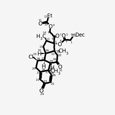 CCCCCCCCCCCC(=O)O[C@@]1(C(=O)COC(=O)CC)[C@H](C)C[C@H]2[C@@H]3[C@H](Cl)CC4=CC(=O)C=C[C@]4(C)[C@H]3C(=O)C[C@@]21C